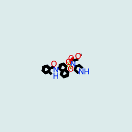 COCC(=O)N(C1CCNCC1)S(=O)(=O)c1ccc(NC(=O)c2ccccc2C)c2ccccc12